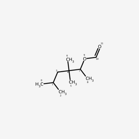 CC(C)CC(C)(C)C(C)OC=O